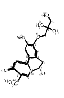 CC[C@H]1Cc2cc(OCC(C)(C)CO)c(OC)cc2-c2cc(=O)c(C(=O)O)cn21